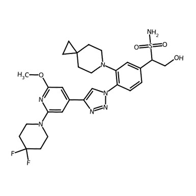 COc1cc(-c2cn(-c3ccc(C(CO)S(N)(=O)=O)cc3N3CCC4(CC3)CC4)nn2)cc(N2CCC(F)(F)CC2)n1